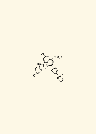 CN1CCN=C1c1ccc(C(=O)Nc2c(OCC(=O)O)cc(Cl)cc2C(=O)Nc2ccc(Cl)cn2)cc1